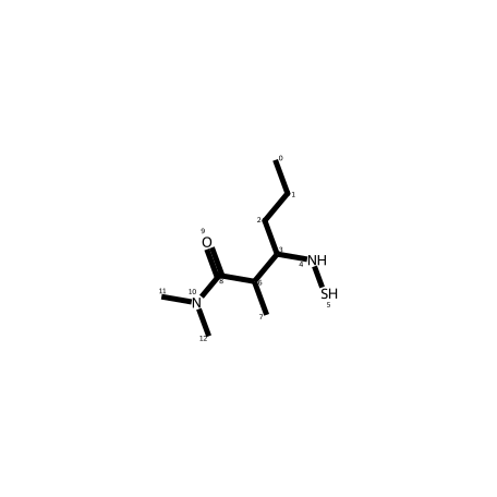 CCCC(NS)C(C)C(=O)N(C)C